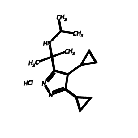 CC(C)NC(C)(C)C1=NN=C(C2CC2)C1C1CC1.Cl